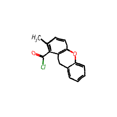 Cc1ccc2c(c1C(=O)Cl)Cc1ccccc1O2